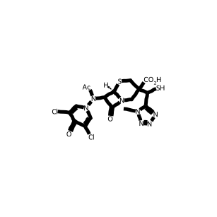 CC(=O)N(C1C(=O)N2CC(C(=O)O)(C(S)c3nnnn3C)CS[C@H]12)n1cc(Cl)c(=O)c(Cl)c1